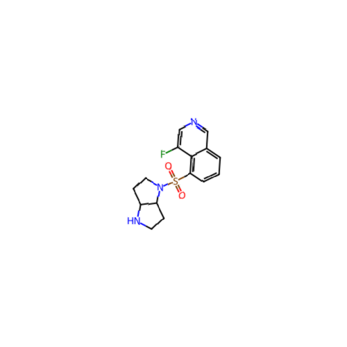 O=S(=O)(c1cccc2cncc(F)c12)N1CCC2NCCC21